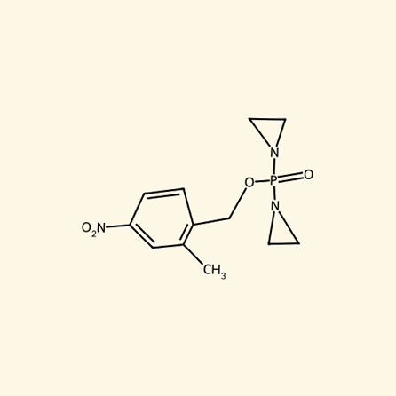 Cc1cc([N+](=O)[O-])ccc1COP(=O)(N1CC1)N1CC1